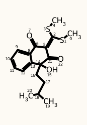 CSC(SC)=C1C(=O)c2ccccc2C(O)(CCC(C)C)C1=O